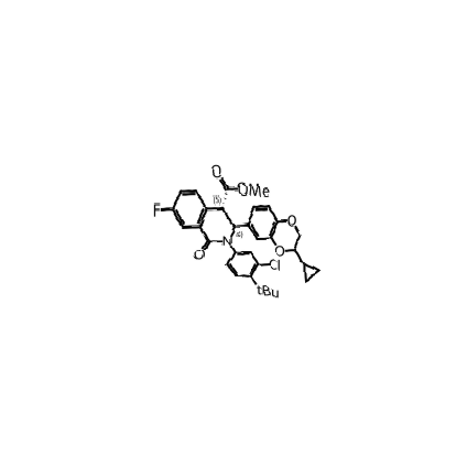 COC(=O)[C@H]1c2ccc(F)cc2C(=O)N(c2ccc(C(C)(C)C)c(Cl)c2)[C@@H]1c1ccc2c(c1)OC(C1CC1)CO2